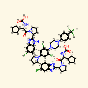 O=C(O)NC(C(=O)N1CCCC1c1nc2cc(F)c([C@H]3CC[C@@H](c4cc5[nH]c(C6CCCN6C(=O)[C@@H](NC(=O)O)C6CCCC6)nc5cc4F)N3c3cc(F)c(N4CCN(c5ccc(C(F)(F)F)cc5)CC4)c(F)c3)cc2[nH]1)C1CCCC1